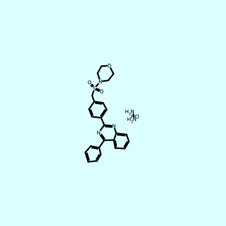 Cl.NN.O=S(=O)(Cc1ccc(-c2nc(-c3ccccc3)c3ccccc3n2)cc1)N1CCOCC1